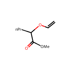 C=COC(CCC)C(=O)OC